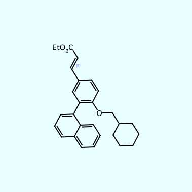 CCOC(=O)/C=C/c1ccc(OCC2CCCCC2)c(-c2cccc3ccccc23)c1